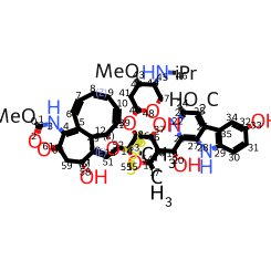 COC(=O)NC1=C2C#C/C=C\C#C[C@H](OC3OC(C)C(C(O)c4nc(C(=O)O)cc5c4[nH]c4ccc(O)cc45)C(O)C3OC3CC(OC)C(NC(C)C)CO3)C2/C(=C\CS(C)(=S)=S)[C@@H](O)CC1=O